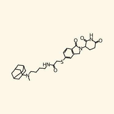 CN(CCCCNC(=O)CSc1ccc2c(c1)CN(C1CCC(=O)NC1=O)C2=O)C12CC3CC(CC(C3)C1)C2